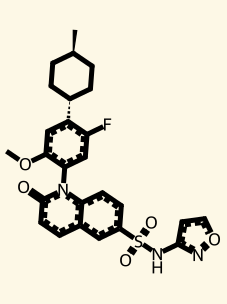 COc1cc([C@H]2CC[C@H](C)CC2)c(F)cc1-n1c(=O)ccc2cc(S(=O)(=O)Nc3ccon3)ccc21